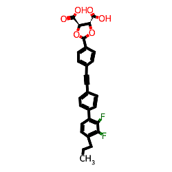 CCCc1ccc(-c2ccc(C#Cc3ccc(C4O[C@@H](C(=O)O)[C@H](C(=O)O)O4)cc3)cc2)c(F)c1F